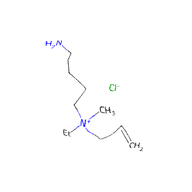 C=CC[N+](C)(CC)CCCCN.[Cl-]